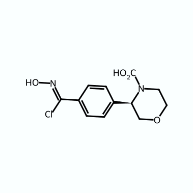 O=C(O)N1CCOC[C@H]1c1ccc(C(Cl)=NO)cc1